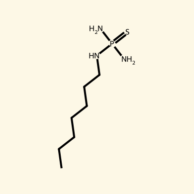 CCCCCCCNP(N)(N)=S